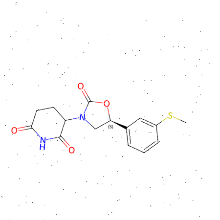 CSc1cccc([C@H]2CN(C3CCC(=O)NC3=O)C(=O)O2)c1